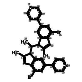 CC1=Cc2c(Br)cc(-c3ccncc3)cc2C1C(C)C1C(C)=Cc2c(Br)cc(-c3ccncc3)cc21